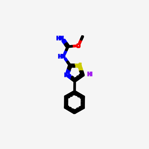 COC(=N)Nc1nc(-c2ccccc2)cs1.I